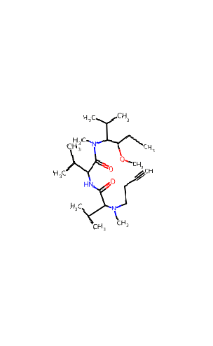 C#CCCN(C)C(C(=O)NC(C(=O)N(C)C(C(C)C)C(CC)OC)C(C)C)C(C)C